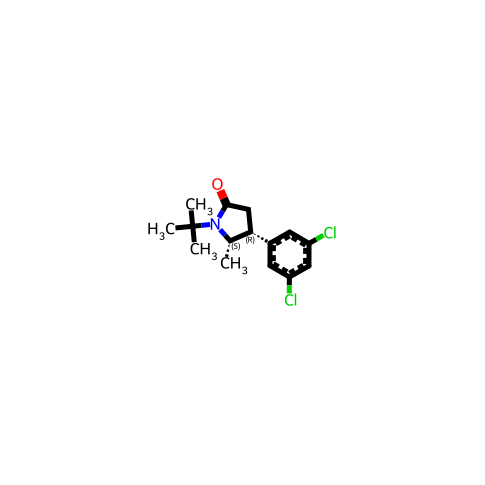 C[C@H]1[C@@H](c2cc(Cl)cc(Cl)c2)CC(=O)N1C(C)(C)C